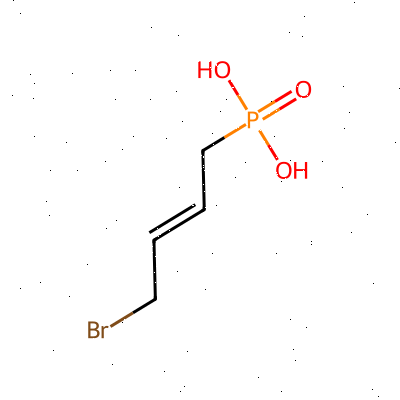 O=P(O)(O)CC=CCBr